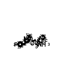 C[C@@H]1CN(CC(=O)N2CC(C)(C)c3ncc(Cc4ccc(F)cc4)cc32)[C@@H](CN2CCC[C@@H]2C(F)(F)F)CN1